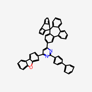 c1ccc(-c2ccc(-c3nc(-c4ccc5c(c4)-c4ccccc4-c4ccccc4C54c5ccccc5-c5ccccc54)cc(-c4ccc5c(c4)oc4ccccc45)n3)cc2)cc1